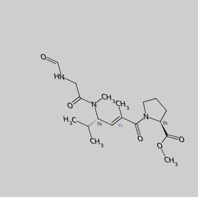 COC(=O)[C@@H]1CCCN1C(=O)/C(C)=C/[C@H](C(C)C)N(C)C(=O)CNC=O